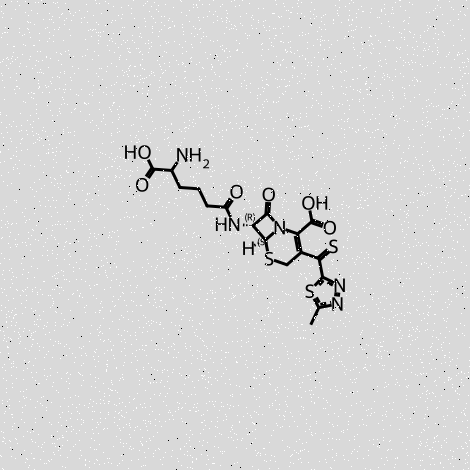 Cc1nnc(C(=S)C2=C(C(=O)O)N3C(=O)[C@@H](NC(=O)CCCC(N)C(=O)O)[C@@H]3SC2)s1